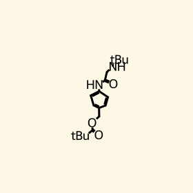 CC(C)(C)NCC(=O)Nc1ccc(COC(=O)C(C)(C)C)cc1